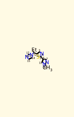 CCC(c1cnc(-c2cnn(C)c2)s1)n1ccnc1